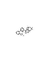 CC1(C)C[C@@H]2C[C@@](C)(CN2C(=O)c2cccc(-c3ccccc3C(F)(F)F)n2)C1